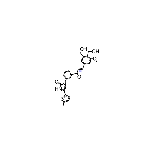 COc1cc(/C=C/C(=O)c2cccc(-n3cc(-c4ccc(C)s4)[nH]c3=O)c2)cc(CO)c1CO